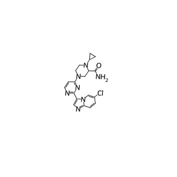 NC(=O)C1CN(c2ccnc(-c3cnc4ccc(Cl)cn34)n2)CCN1C1CC1